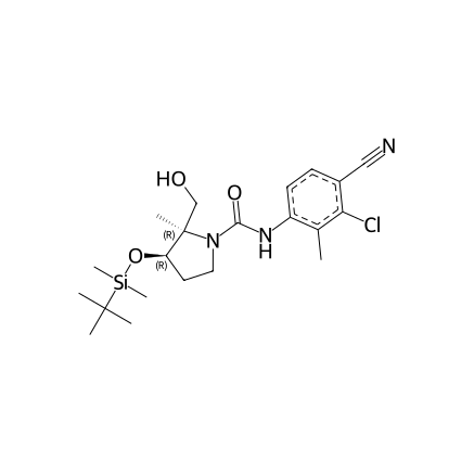 Cc1c(NC(=O)N2CC[C@@H](O[Si](C)(C)C(C)(C)C)[C@@]2(C)CO)ccc(C#N)c1Cl